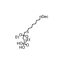 CCCCCCCCCCCCCCCCSCC(COP(=O)(O)O)(OCC)OCC